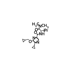 CC(C)C(NC(=O)c1cnc(C2CC2)c(OCC2CC2)n1)C(=O)N(C)C